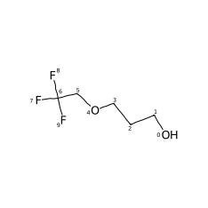 OCCCOCC(F)(F)F